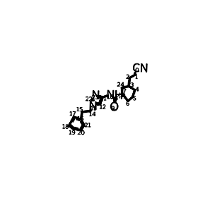 N#CCCC1CCC[C@H](C(=O)Nc2cn(CCc3ccccc3)cn2)C1